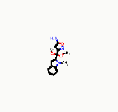 COC(OC)(c1cc(N)on1)c1cc2ccccc2n1C